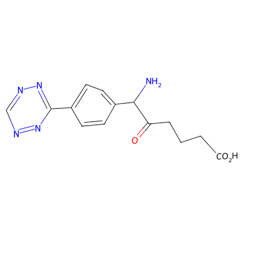 NC(C(=O)CCCC(=O)O)c1ccc(-c2nncnn2)cc1